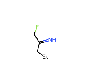 CCCC(=N)CF